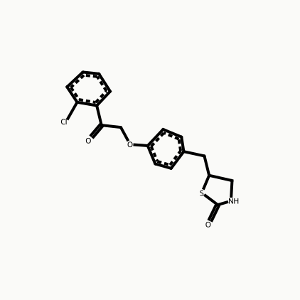 O=C1NCC(Cc2ccc(OCC(=O)c3ccccc3Cl)cc2)S1